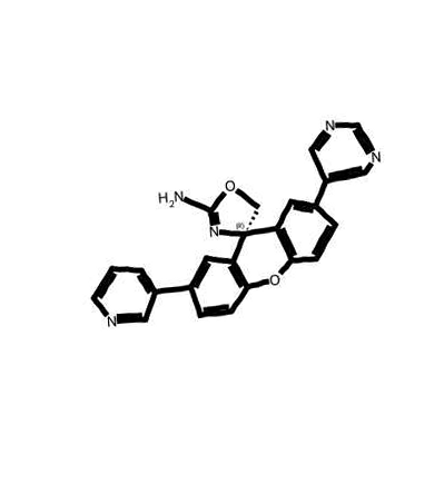 NC1=N[C@]2(CO1)c1cc(-c3cccnc3)ccc1Oc1ccc(-c3cncnc3)cc12